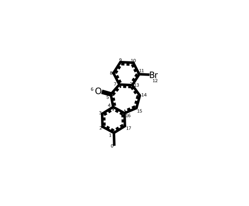 Cc1ccc2c(=O)c3cccc(Br)c3ccc2c1